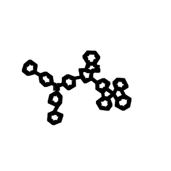 c1ccc(-c2ccc(N(c3ccc(-c4ccccc4)cc3)c3ccc(-c4cc(-c5ccc6c(c5)-c5ccccc5C65c6ccccc6-c6ccccc65)c5sc6ccccc6c5c4)cc3)cc2)cc1